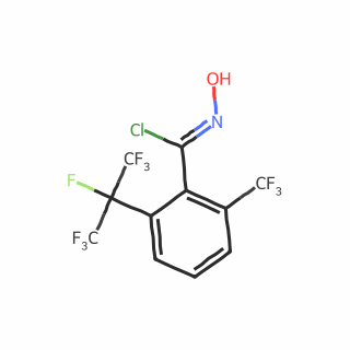 ON=C(Cl)c1c(C(F)(F)F)cccc1C(F)(C(F)(F)F)C(F)(F)F